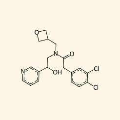 O=C(Cc1ccc(Cl)c(Cl)c1)N(CC1COC1)CC(O)c1cccnc1